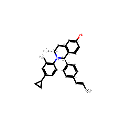 Cc1cc(C2CC2)ccc1N1[C@H](c2ccc(C=CC(=O)O)cc2)c2ccc(O)cc2C[C@H]1C